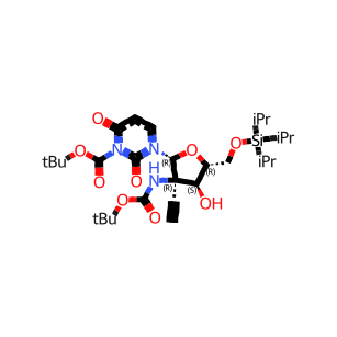 C#C[C@@]1(NC(=O)OC(C)(C)C)[C@H](O)[C@@H](CO[Si](C(C)C)(C(C)C)C(C)C)O[C@H]1n1ccc(=O)n(C(=O)OC(C)(C)C)c1=O